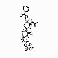 C=C(C)[C@@H]1CC[C@]2(COC(=O)c3ccccc3)CC[C@]3(C)C(CC[C@@H]4[C@@]5(C)CC=C(OS(=O)(=O)C(F)(F)F)C(C)(C)[C@@H]5CC[C@]43C)[C@@H]12